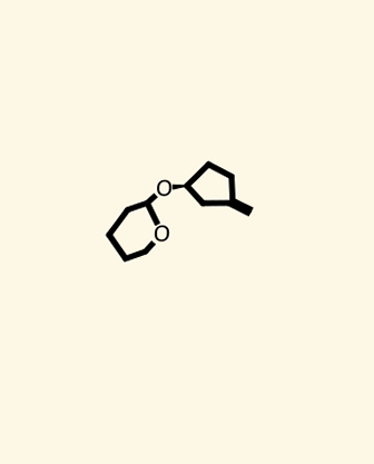 C=C1CC[C@H](OC2CCCCO2)C1